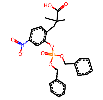 CC(C)(Cc1ccc([N+](=O)[O-])cc1OP(=O)(OCc1ccccc1)OCc1ccccc1)C(=O)O